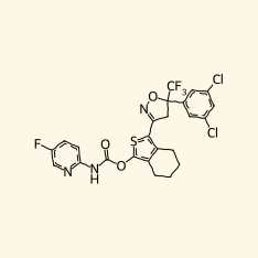 O=C(Nc1ccc(F)cn1)Oc1sc(C2=NOC(c3cc(Cl)cc(Cl)c3)(C(F)(F)F)C2)c2c1CCCC2